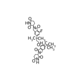 CC(C)(C)c1cc2c(c(OCCC(C)(C)c3cc(F)c4c(c3)CN(C3CCC(=O)NC3=O)C4=O)c1)C(=O)N(C1CCC(=O)NC1=O)C2